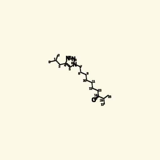 CC(C)Cc1cn(CCCCCCCC(=O)C(C)C)nn1